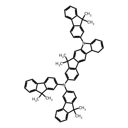 CC1(C)c2ccccc2-c2cc(N(c3ccc4c(c3)C(C)(C)c3ccccc3-4)c3ccc4c(c3)C(C)(C)c3cc5c(cc3-4)C3CC=CC=C3N5c3ccc4c(c3)C(C)(C)c3ccccc3-4)ccc21